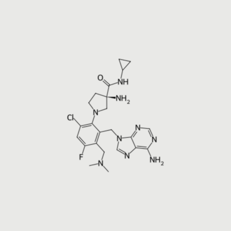 CN(C)Cc1c(F)cc(Cl)c(N2CC[C@](N)(C(=O)NC3CC3)C2)c1Cn1cnc2c(N)ncnc21